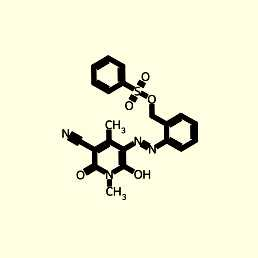 Cc1c(N=Nc2ccccc2COS(=O)(=O)c2ccccc2)c(O)n(C)c(=O)c1C#N